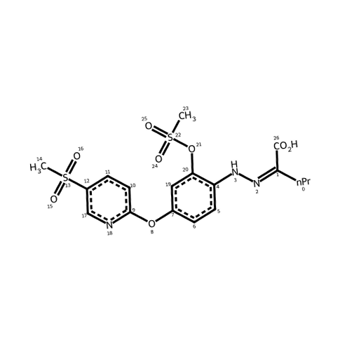 CCCC(=NNc1ccc(Oc2ccc(S(C)(=O)=O)cn2)cc1OS(C)(=O)=O)C(=O)O